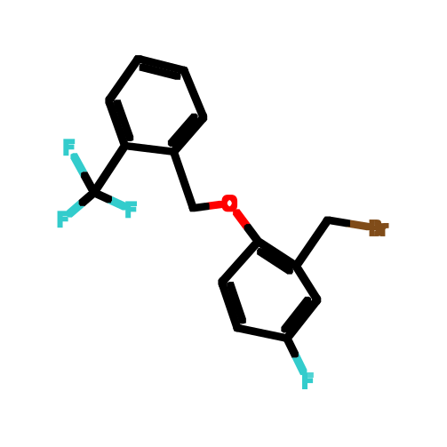 Fc1ccc(OCc2ccccc2C(F)(F)F)c(CBr)c1